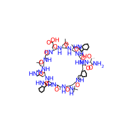 CC(C)C[C@@H]1NC(=O)[C@H](Cc2c[nH]cn2)NC(=O)[C@H](Cc2c[nH]c3ccccc23)NC(=O)[C@H](C)NC(=O)[C@@H](NC(C)(C)C)CC(=O)NCc2ccccc2CC(C(=O)N[C@H](C(N)=O)[C@@H](C)O)NC(=O)[C@H](Cc2c[nH]c3ccccc23)NC(=O)[C@H](C(C)C)NC(=O)[C@H](CC(C)C)NC(=O)[C@H](CCC(=O)O)NC(=O)CNC1=O